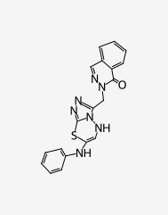 O=c1c2ccccc2cnn1Cc1nnc2n1NC=C(Nc1ccccc1)S2